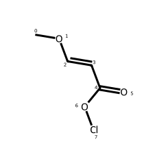 COC=CC(=O)OCl